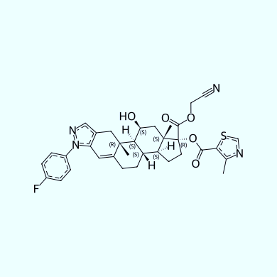 Cc1ncsc1C(=O)O[C@]1(C(=O)OCC#N)CC[C@H]2[C@@H]3CCC4=Cc5c(cnn5-c5ccc(F)cc5)C[C@]4(C)[C@H]3[C@@H](O)C[C@@]21C